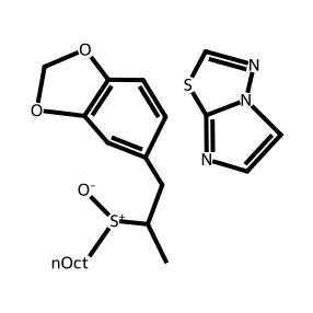 CCCCCCCC[S+]([O-])C(C)Cc1ccc2c(c1)OCO2.c1cn2ncsc2n1